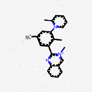 Cc1c(-c2nc3ccccc3c[n+]2C)cc(C#N)cc1-[n+]1ccccc1C